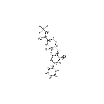 CC(C)(C)OC(=O)N1CC[C@H](Cn2ccc(-c3ccccc3)cc2=O)C(C)(C)C1